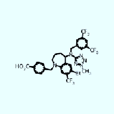 CCc1cc2c(cc1C(F)(F)F)N(Cc1ccc(C(=O)O)cc1)CCCC2N(Cc1cc(C(F)(F)F)cc(C(F)(F)F)c1)c1nnn(C)n1